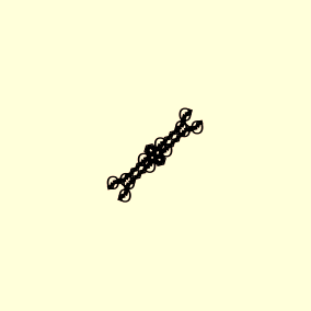 CCOC#COCCCCCCOc1c(OCCCCCCOC#COCC)c2cccc3c(OCCCCCCOC#COCC)c(OCCCCCCOC#COCC)c4cccc1c4c23